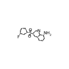 Nc1cccc2cc(S(=O)(=O)c3cccc(F)c3)cnc12